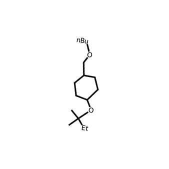 CCCCOCC1CCC(OC(C)(C)CC)CC1